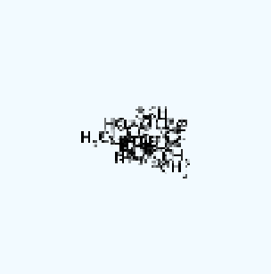 C=CCN1CC[C@]23c4c5c(O)cc(OC(C)=O)c4O[C@H]2[C@H](N(CC(C)C)C(=O)Cc2ccc(Cl)c(Cl)c2)CC[C@H]3[C@H]1C5